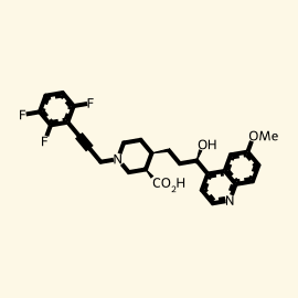 COc1ccc2nccc([C@H](O)CC[C@@H]3CCN(CC#Cc4c(F)ccc(F)c4F)C[C@@H]3C(=O)O)c2c1